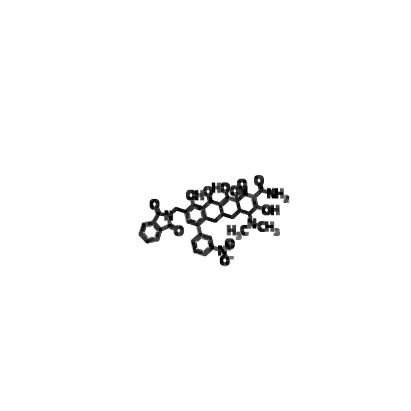 CN(C)C1C(O)=C(C(N)=O)C(=O)C2(O)C(O)=C3C(=O)c4c(O)c(CN5C(=O)c6ccccc6C5=O)cc(-c5cccc([N+](=O)[O-])c5)c4CC3CC12